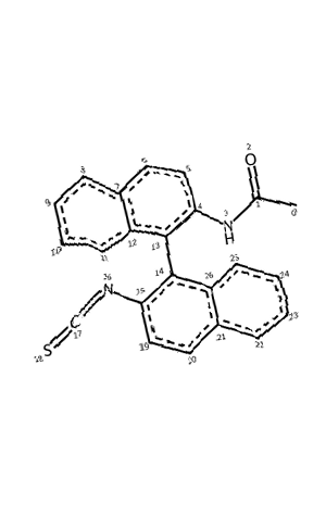 CC(=O)Nc1ccc2ccccc2c1-c1c(N=C=S)ccc2ccccc12